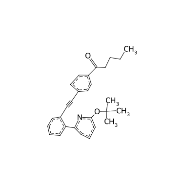 CCCCC(=O)c1ccc(C#Cc2ccccc2-c2cccc(OC(C)(C)C)n2)cc1